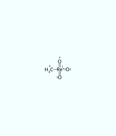 [CH3][Re+](=[O])(=[O])=[O]